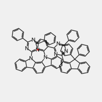 c1ccc(-c2nc(-c3ccccc3-n3c4ccccc4c4ccc5c6ccccc6n(-c6nc(-c7ccccc7)nc(-c7ccccc7)n6)c5c43)nc(-c3cccc4c3C(c3ccccc3)(c3ccccc3)c3ccccc3-4)n2)cc1